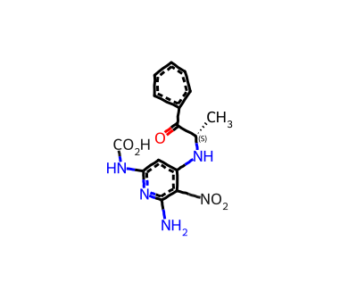 C[C@H](Nc1cc(NC(=O)O)nc(N)c1[N+](=O)[O-])C(=O)c1ccccc1